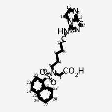 O=C(O)CN(CCCCCCNc1nsc2nccn12)S(=O)(=O)c1cccc2ccccc12